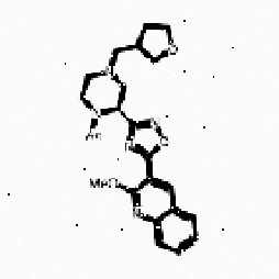 COc1nc2ccccc2cc1-c1nc([C@@H]2CN(CC3CCOC3)CCN2C(C)=O)no1